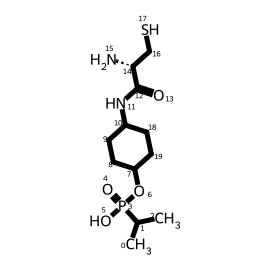 CC(C)P(=O)(O)OC1CCC(NC(=O)[C@H](N)CS)CC1